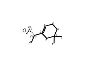 C[C@@H](C1=CCCC(C)(C)C1)[N+](=O)[O-]